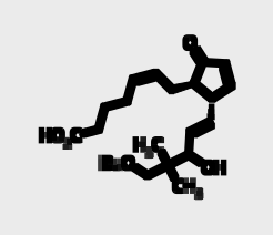 CC(C)COCC(C)(C)C(O)C=C[C@H]1C=CC(=O)[C@@H]1C/C=C\CCCC(=O)O